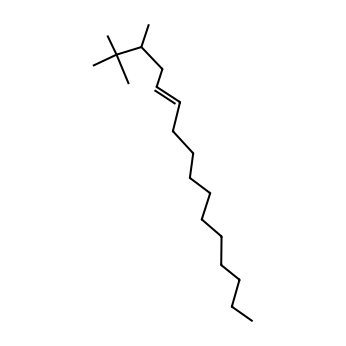 CCCCCCCCCCC=CCC(C)C(C)(C)C